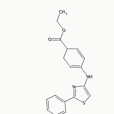 CCOC(=O)C1C=CC(Nc2csc(-c3ccccc3)n2)=CC1